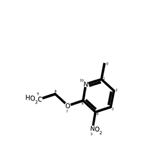 Cc1ccc([N+](=O)[O-])c(OCC(=O)O)n1